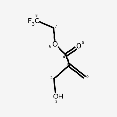 C=C(CO)C(=O)OCC(F)(F)F